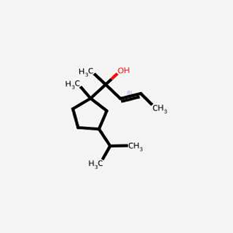 C/C=C/C(C)(O)C1(C)CCC(C(C)C)C1